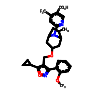 C[C@@H]1CC2CC(OCc3c(-c4ccccc4OC(F)(F)F)noc3C3CC3)CC1N2c1cc(C(F)(F)F)c(C(=O)O)cn1